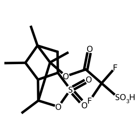 CC1C2C3CC1(C)C(C)(OC(=O)C(F)(F)S(=O)(=O)O)C2(C)OS3(=O)=O